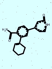 NC(=O)c1ccc(-c2cc[nH]c(=O)c2)cc1C1=CCCCC1